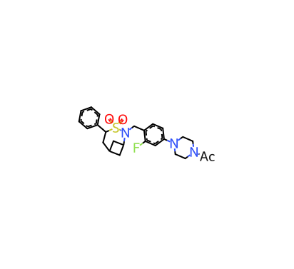 CC(=O)N1CCN(c2ccc(CN3C4CC(C4)CC(c4ccccc4)S3(=O)=O)c(F)c2)CC1